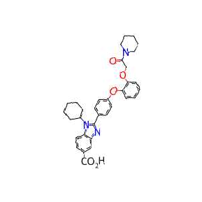 O=C(O)c1ccc2c(c1)nc(-c1ccc(Oc3ccccc3OCC(=O)N3CCCCC3)cc1)n2C1CCCCC1